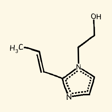 CC=Cc1nccn1CCO